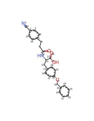 N#Cc1ccc(CCC(=O)NC(Cc2ccc(OCc3ccccc3)cc2)C(=O)O)cc1